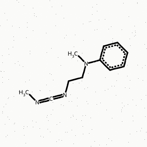 CN=C=NCCN(C)c1ccccc1